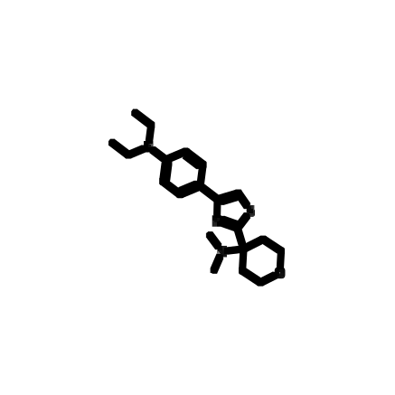 CCN(CC)c1ccc(-c2csc(C3(N(C)C)CCOCC3)n2)cc1